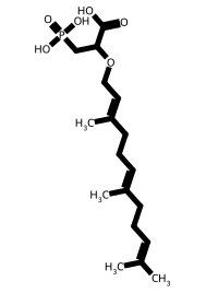 CC(C)=CCC/C(C)=C/CC/C(C)=C/COC(CP(=O)(O)O)C(=O)O